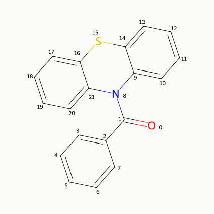 O=C(c1ccccc1)N1c2ccccc2Sc2ccccc21